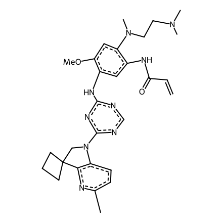 C=CC(=O)Nc1cc(Nc2ncnc(N3CC4(CCC4)c4nc(C)ccc43)n2)c(OC)cc1N(C)CCN(C)C